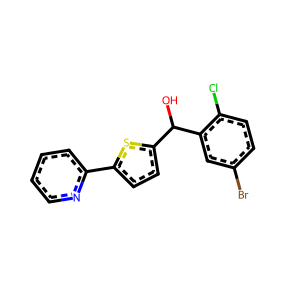 OC(c1ccc(-c2ccccn2)s1)c1cc(Br)ccc1Cl